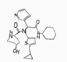 O=C(NC1CCCCC1)C(c1cccnc1)N(C(=O)[C@H]1C[C@@H](O)CN1)c1ccc(C2CC2)s1